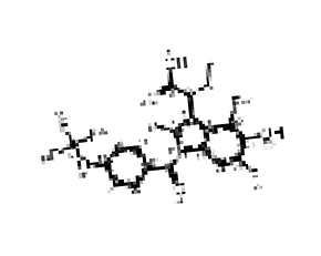 CC[C@H](C(=O)O)c1c(C)n(C(=O)c2ccc(OC(F)(F)F)cc2)c2cc(F)c(O)c(F)c12